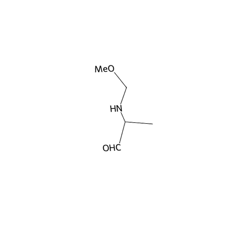 COCNC(C)C=O